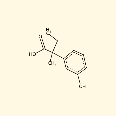 CCC(C)(C(=O)O)c1cccc(O)c1